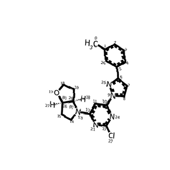 Cc1cccc(-c2ccn(-c3cc(N4CC[C@H]5OCC[C@H]54)nc(Cl)n3)n2)c1